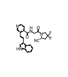 N#C[C@@H]1CC(F)(F)CN1C(=O)CNC(=O)c1ccncc1/C=C/c1c[nH]c2ccccc12